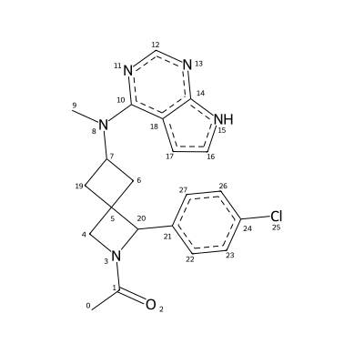 CC(=O)N1CC2(CC(N(C)c3ncnc4[nH]ccc34)C2)C1c1ccc(Cl)cc1